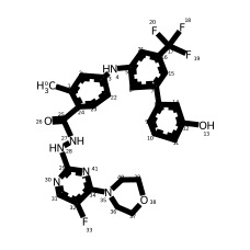 Cc1cc(Nc2cc(-c3cccc(O)c3)cc(C(F)(F)F)c2)ccc1C(=O)NNc1ncc(F)c(N2CCOCC2)n1